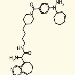 NC(C(=O)NCCCCC1CCN(C(=O)c2ccc(N(N)C3=CC=CCCC3)cc2)CC1)C1=c2cnccc2=CCCC1